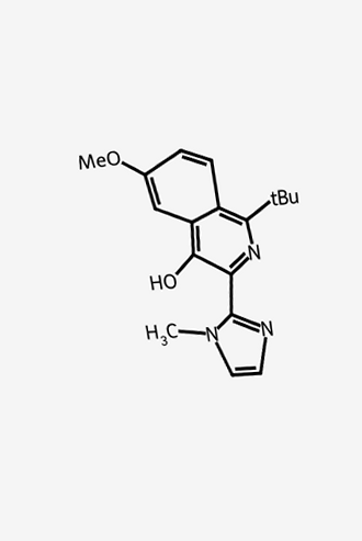 COc1ccc2c(C(C)(C)C)nc(-c3nccn3C)c(O)c2c1